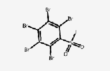 O=S(=O)(I)c1c(Br)c(Br)c(Br)c(Br)c1Br